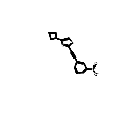 O=[N+]([O-])c1cccc(C#Cc2nc(C3CCC3)cs2)c1